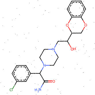 NC(=O)C(c1cccc(Cl)c1)N1CCN(CC(O)C2COc3ccccc3O2)CC1